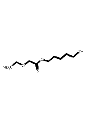 CC(C)CCCCCOC(=S)COCC(=O)O